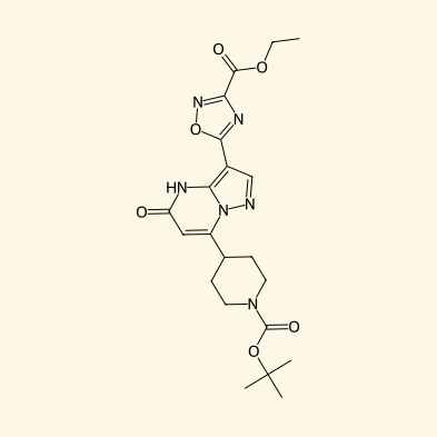 CCOC(=O)c1noc(-c2cnn3c(C4CCN(C(=O)OC(C)(C)C)CC4)cc(=O)[nH]c23)n1